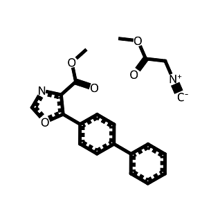 COC(=O)c1ncoc1-c1ccc(-c2ccccc2)cc1.[C-]#[N+]CC(=O)OC